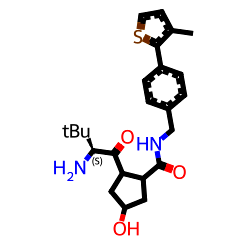 Cc1ccsc1-c1ccc(CNC(=O)C2CC(O)CC2C(=O)[C@@H](N)C(C)(C)C)cc1